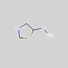 CNC1CNCS1